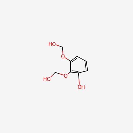 OCOc1cccc(O)c1OCO